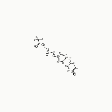 CC(C)(C)C(=O)OCOC(=O)COc1ccc(Cc2ccc(Cl)cc2)cc1